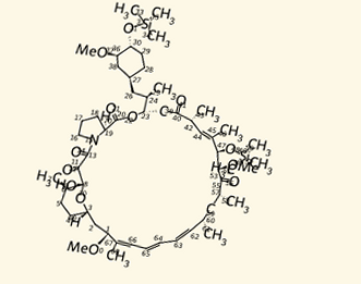 CO[C@H]1C[C@@H]2CC[C@@H](C)[C@@](O)(O2)C(=O)C(=O)N2CCC[C@H]2C(=O)O[C@H]([C@H](C)C[C@@H]2CC[C@@H](O[Si](C)(C)C)[C@H](OC)C2)CC(=O)[C@H](C)/C=C(\C)[C@@H](O[Si](C)(C)C)[C@@H](OC)C(=O)[C@H](C)C[C@H](C)/C=C/C=C/C=C/1C